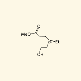 CC[C@@H](CCO)CCC(=O)OC